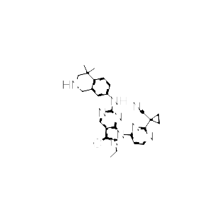 CCn1c(=O)c2cnc(Nc3ccc4c(c3)CNCC4(C)C)nc2n1-c1ccnc(C2(C#N)CC2)n1